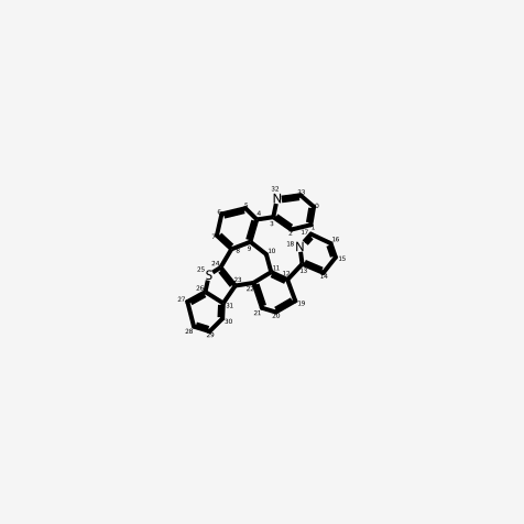 c1ccc(-c2cccc3c2Cc2c(-c4ccccn4)cccc2-c2c-3sc3ccccc23)nc1